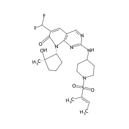 C/C=C(\C)S(=O)(=O)N1CCC(Nc2ncc3cc(C(F)F)c(=O)n([C@@H]4CCC[C@@]4(C)O)c3n2)CC1